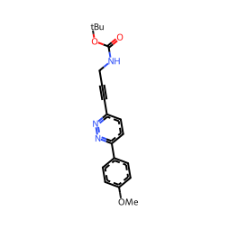 COc1ccc(-c2ccc(C#CCNC(=O)OC(C)(C)C)nn2)cc1